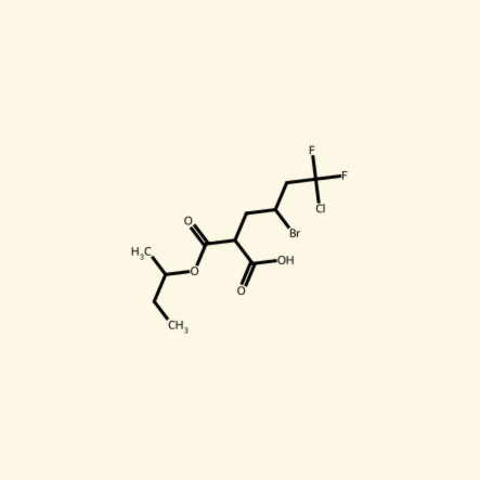 CCC(C)OC(=O)C(CC(Br)CC(F)(F)Cl)C(=O)O